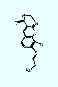 CC(C)(C)CCOc1ccc2c(c1Cl)OC1=NCNC(=O)C1=C2